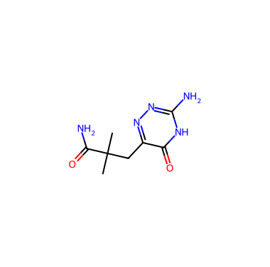 CC(C)(Cc1nnc(N)[nH]c1=O)C(N)=O